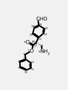 NC[C@H](C(=O)OCc1ccccc1)c1ccc(C=O)cc1